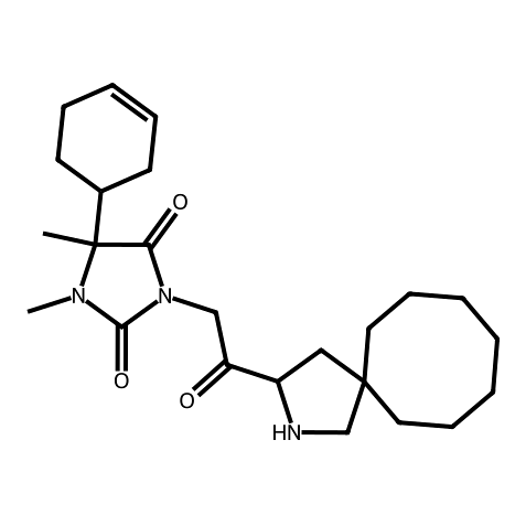 CN1C(=O)N(CC(=O)C2CC3(CCCCCCC3)CN2)C(=O)C1(C)C1CC=CCC1